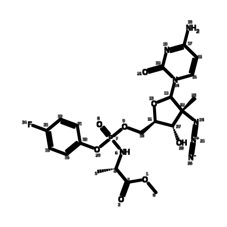 COC(=O)[C@H](C)NP(=O)(OC[C@H]1OC(n2ccc(N)nc2=O)[C@](C)(N=[N+]=[N-])[C@@H]1O)Oc1ccc(F)cc1